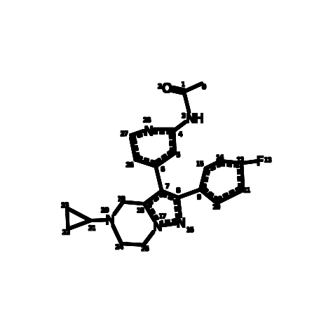 CC(=O)Nc1cc(-c2c(-c3ccc(F)cc3)nn3c2CN(C2CC2)CC3)ccn1